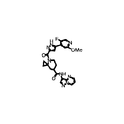 COc1cc(-c2cc(C(=O)N3CCC(C(=O)Nc4cnn5cccnc45)CC34CC4)n[nH]2)c(F)cn1